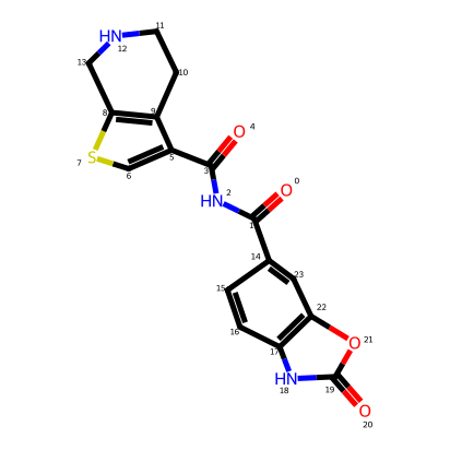 O=C(NC(=O)c1csc2c1CCNC2)c1ccc2[nH]c(=O)oc2c1